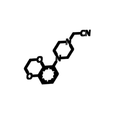 N#CCN1CCN(c2cccc3c2OCCO3)CC1